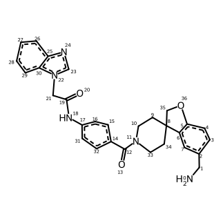 NCc1ccc2c(c1)C1(CCN(C(=O)c3ccc(NC(=O)Cn4cnc5ccccc54)cc3)CC1)CO2